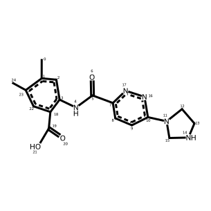 Cc1cc(NC(=O)c2ccc(N3CCNC3)nn2)c(C(=O)O)cc1C